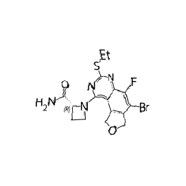 CCSc1nc(N2CC[C@@H]2C(N)=O)c2c3c(c(Br)c(F)c2n1)COC3